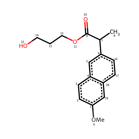 COc1ccc2cc(C(C)C(=O)OCCCO)ccc2c1